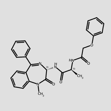 C[C@H](NC(=O)COc1ccccc1)C(=O)N[C@H]1N=C(c2ccccc2)c2ccccc2N(C)C1=O